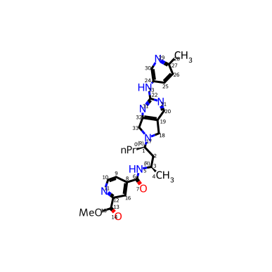 CCC[C@H](C[C@@H](C)NC(=O)c1ccnc(C(=O)OC)c1)N1Cc2cnc(Nc3ccc(C)nc3)nc2C1